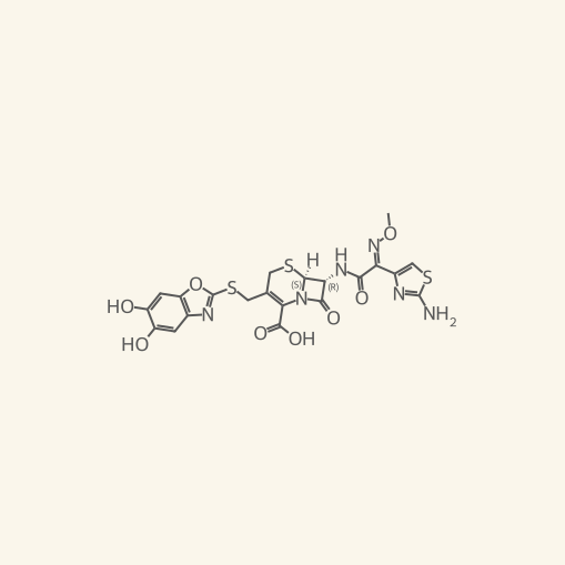 CON=C(C(=O)N[C@@H]1C(=O)N2C(C(=O)O)=C(CSc3nc4cc(O)c(O)cc4o3)CS[C@@H]12)c1csc(N)n1